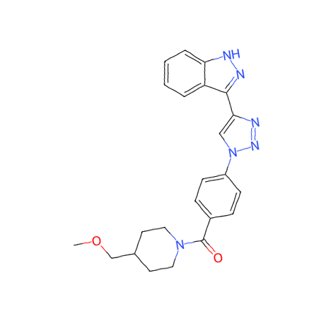 COCC1CCN(C(=O)c2ccc(-n3cc(-c4n[nH]c5ccccc45)nn3)cc2)CC1